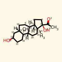 CC(=O)[C@@]1(O)CC[C@H]2[C@@H]3CC[C@H]4CC(O)CC[C@]4(C)[C@H]3CC[C@@]21C